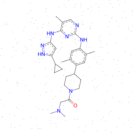 Cc1cc(C2CCN(C(=O)CN(C)C)CC2)c(C)cc1Nc1ncc(C)c(Nc2cc(C3CC3)[nH]n2)n1